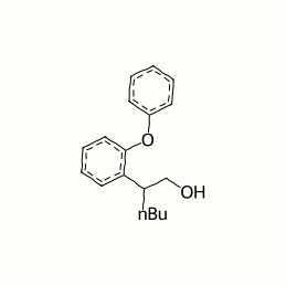 CCCCC(CO)c1ccccc1Oc1ccccc1